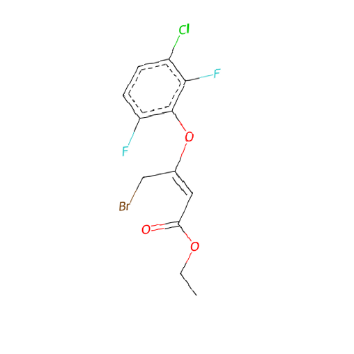 CCOC(=O)C=C(CBr)Oc1c(F)ccc(Cl)c1F